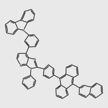 c1ccc(-n2c(-c3ccc(-c4c5ccccc5c(-c5ccc6ccccc6c5)c5ccccc45)cc3)nc3c(-c4cccc(-n5c6ccccc6c6ccccc65)c4)ccnc32)cc1